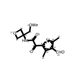 COCC1(NC(=O)C(=O)c2sc(C)c(C=O)c2C)COC1